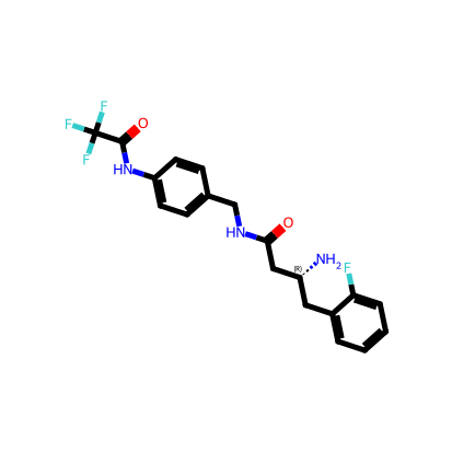 N[C@@H](CC(=O)NCc1ccc(NC(=O)C(F)(F)F)cc1)Cc1ccccc1F